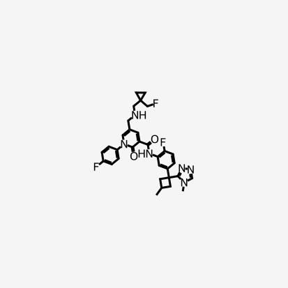 CC1CC(c2ccc(F)c(NC(=O)c3cc(CNCC4(CF)CC4)cn(-c4ccc(F)cc4)c3=O)c2)(c2nncn2C)C1